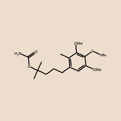 CCCCSc1c(OC)cc(CCCC(C)(C)OC(N)=O)c(C)c1OC